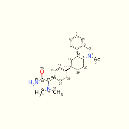 CC(=O)N(Cc1ccccc1)[C@H]1CC[C@H](c2ccc(C(C(N)=O)N(C)C)cc2)CC1